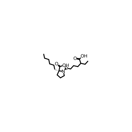 CCCCCC[C@@]1(C(=O)O)CCCN1OCCCC(CC)C(=O)O